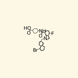 O=C(NC1CCC(C(=O)O)CC1)c1ccc(F)c2ccn(Cc3ccc4c(Br)cccc4c3)c12